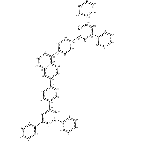 c1ccc(-c2cc(-c3ccccc3)nc(-c3ccc(-c4ccc5c(-c6ccc(-c7nc(-c8ccccc8)nc(-c8ccccc8)n7)cc6)cccc5c4)cc3)c2)cc1